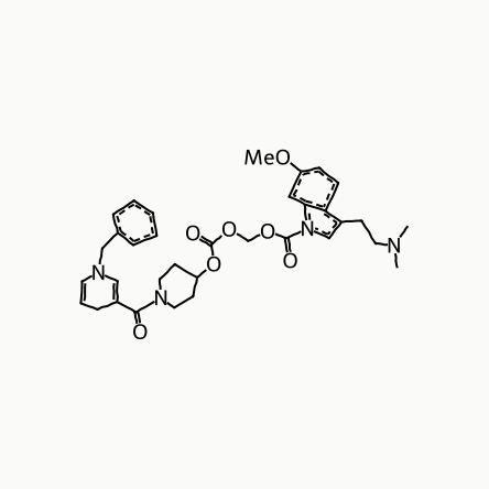 COc1ccc2c(CCN(C)C)cn(C(=O)OCOC(=O)OC3CCN(C(=O)C4=CN(Cc5ccccc5)C=CC4)CC3)c2c1